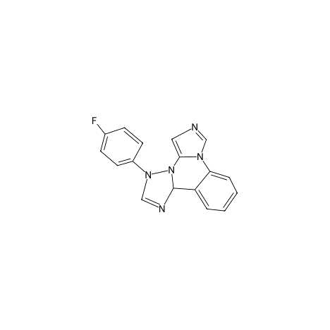 Fc1ccc(N2C=NC3c4ccccc4-n4cncc4N32)cc1